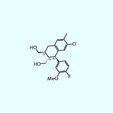 COc1cc([C@@H]2c3cc(Cl)c(C)cc3C[C@H](CO)[C@H]2CO)ccc1F